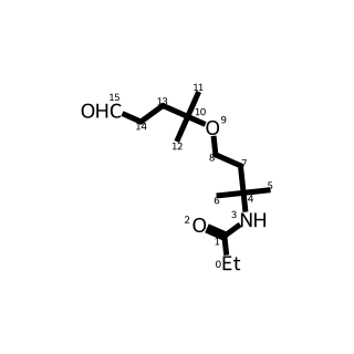 CCC(=O)NC(C)(C)CCOC(C)(C)CCC=O